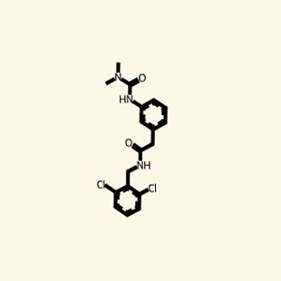 CN(C)C(=O)Nc1cccc(CC(=O)NCc2c(Cl)cccc2Cl)c1